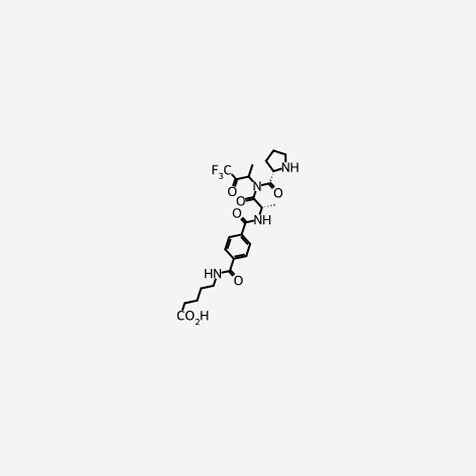 CC(C(=O)C(F)(F)F)N(C(=O)[C@H](C)NC(=O)c1ccc(C(=O)NCCCCC(=O)O)cc1)C(=O)[C@@H]1CCCN1